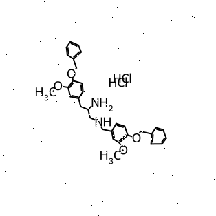 COc1cc(CNCC(N)Cc2ccc(OCc3ccccc3)c(OC)c2)ccc1OCc1ccccc1.Cl.Cl